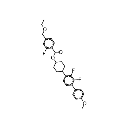 CCOCc1ccc(C(=O)OC2CCC(c3ccc(-c4ccc(OC)cc4)c(F)c3F)CC2)c(F)c1